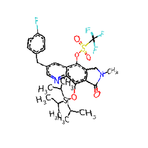 CC(C)[Si](Oc1c2c(c(OS(=O)(=O)C(F)(F)F)c3cc(Cc4ccc(F)cc4)cnc13)CN(C)C2=O)(C(C)C)C(C)C